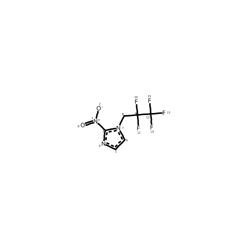 O=[N+]([O-])c1nccn1CC(F)(F)C(F)(F)F